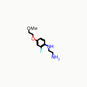 COCCOc1ccc(NCCN)c(F)c1